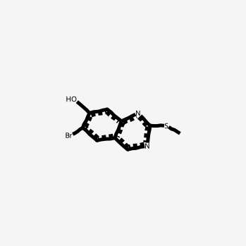 CSc1ncc2cc(Br)c(O)cc2n1